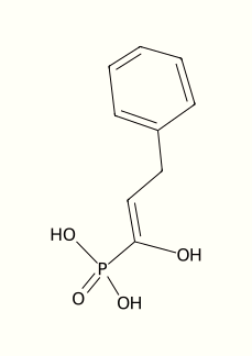 O=P(O)(O)/C(O)=C/Cc1ccccc1